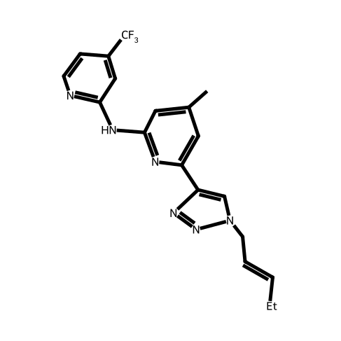 CCC=CCn1cc(-c2cc(C)cc(Nc3cc(C(F)(F)F)ccn3)n2)nn1